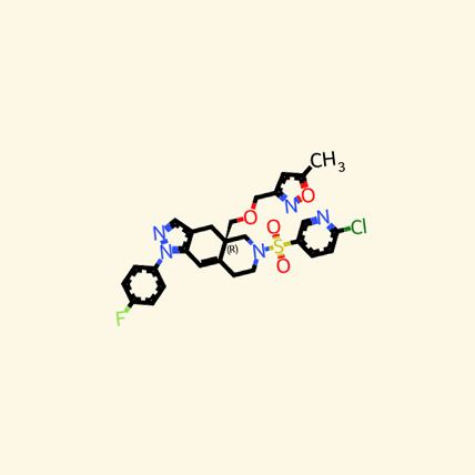 Cc1cc(COC[C@]23Cc4cnn(-c5ccc(F)cc5)c4C=C2CCN(S(=O)(=O)c2ccc(Cl)nc2)C3)no1